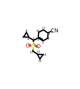 N#CC1CC=C(C(C2CC2)S(=O)(=O)CC2CC2)CC1